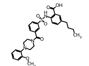 CCCCc1ccc(NS(=O)(=O)c2cccc(C(=O)N3CCN(c4ccccc4OC)CC3)c2)c(C(=O)O)c1